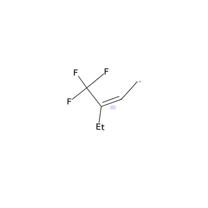 [CH2]/C=C(/CC)C(F)(F)F